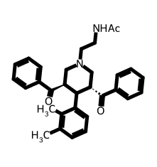 CC(=O)NCCN1C[C@H](C(=O)c2ccccc2)C(c2cccc(C)c2C)[C@@H](C(=O)c2ccccc2)C1